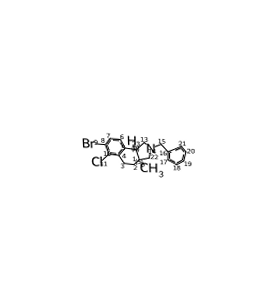 C[C@]12CCc3c(ccc(Br)c3Cl)[C@H]1CN(Cc1ccccc1)C2